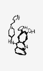 N#CCCN1CCC(Nc2c3ccccc3nc3cc(O)c(O)cc23)CC1